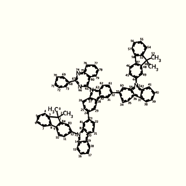 CC1(C)c2ccccc2-c2ccc(-n3c4ccccc4c4ccc(-c5ccc6c(c5)c5cc(-c7ccc8c9ccccc9n(-c9ccc%10c(c9)C(C)(C)c9ccccc9-%10)c8c7)ccc5n6-c5nc(-c6ccccc6)nc6ccccc56)cc43)cc21